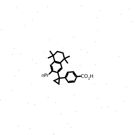 CCCc1cc2c(cc1C1(c3ccc(C(=O)O)cc3)CC1)C(C)(C)CCC2(C)C